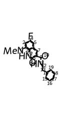 CNc1cc(F)cc2cc(C(=O)NCCc3ccccc3)c(=O)[nH]c12